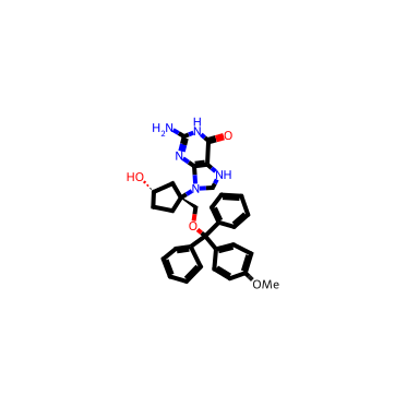 COc1ccc(C(OC[C@@]2(N3CNc4c3nc(N)[nH]c4=O)CC[C@H](O)C2)(c2ccccc2)c2ccccc2)cc1